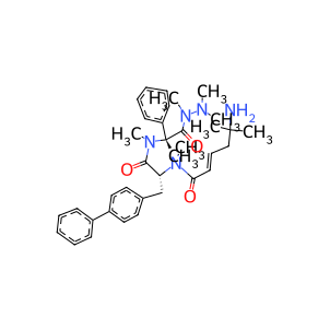 CN(C(=O)/C=C/CC(C)(C)N)[C@H](Cc1ccc(-c2ccccc2)cc1)C(=O)N(C)[C@@](C)(C(=O)N(C)N(C)C)c1ccccc1